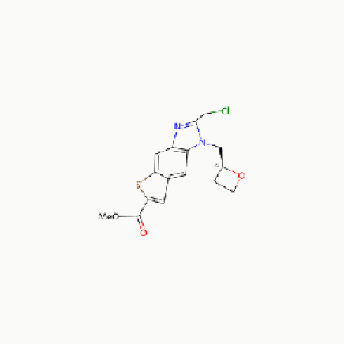 COC(=O)c1cc2cc3c(cc2s1)nc(CCl)n3C[C@@H]1CCO1